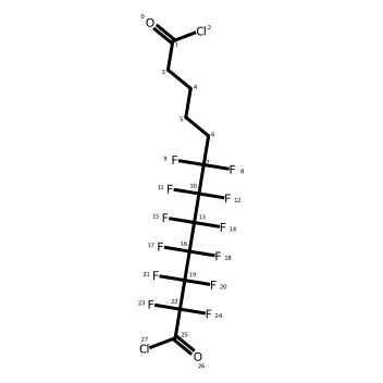 O=C(Cl)CCCCC(F)(F)C(F)(F)C(F)(F)C(F)(F)C(F)(F)C(F)(F)C(=O)Cl